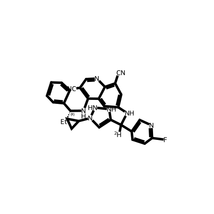 [2H]C(Nc1cc(C#N)c2ncc(C#N)c(N[C@H](CC)c3ccccc3)c2c1)(C1=CN(C2CC2)NN1)c1ccc(F)nc1